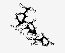 CC(=O)c1cc(-n2c(C)cc(OC(O)(O)c3ncc(F)cc3F)cc2=O)c(C)cn1